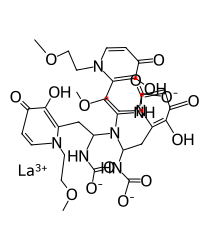 COCCn1ccc(=O)c(O)c1CC(NC(=O)[O-])N(C(Cc1c(O)c(=O)ccn1CCOC)NC(=O)[O-])C(Cc1c(O)c(=O)ccn1CCOC)NC(=O)[O-].[La+3]